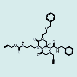 C#CCN1CC(=O)N2[C@@H](CCCNC(=O)OCC=C)C(=O)N(CCOCc3ccccc3)C[C@@H]2N1C(=O)NCc1ccccc1